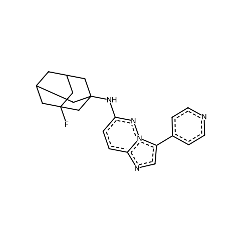 FC12CC3CC(C1)CC(Nc1ccc4ncc(-c5ccncc5)n4n1)(C3)C2